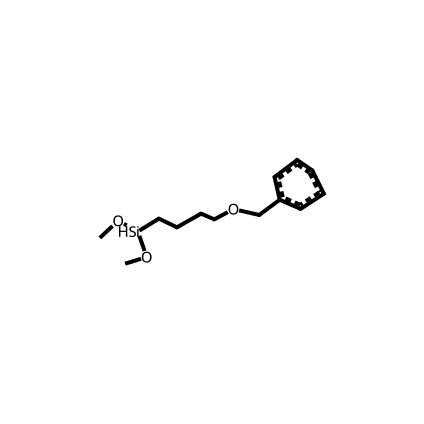 CO[SiH](CCCCOCc1ccccc1)OC